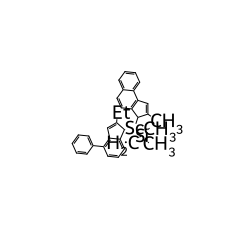 [CH2][Si](C)(C)[Sc]([CH]1C(CC)=Cc2c(-c3ccccc3)cccc21)[CH]1C(C)=Cc2c1ccc1ccccc21